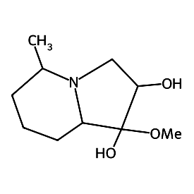 COC1(O)C(O)CN2C(C)CCCC21